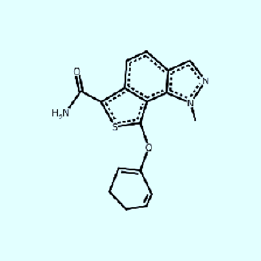 Cn1ncc2ccc3c(C(N)=O)sc(OC4=CCCC=C4)c3c21